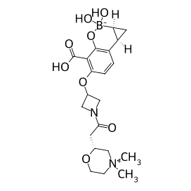 C[N+]1(C)CCO[C@H](CC(=O)N2CC(Oc3ccc4c(c3C(=O)O)O[B-](O)(O)[C@H]3C[C@@H]43)C2)C1